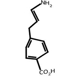 NC=CCc1ccc(C(=O)O)cc1